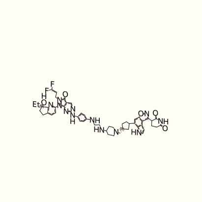 CC[C@@]1(O)CCc2ccc(-n3c4nc(Nc5ccc(NCCNC6CCN(C[C@@H]7CCC(c8cc9onc(C%10CCC(=O)NC%10=O)c9c9cc[nH]c89)C7)CC6)cc5)ncc4c(=O)n3CC=C(F)F)nc21